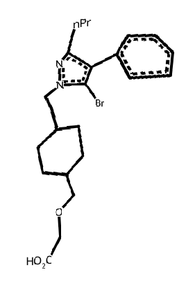 CCCc1nn(CC2CCC(COCC(=O)O)CC2)c(Br)c1-c1ccccc1